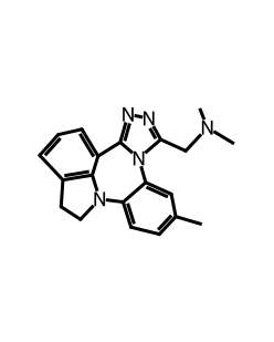 Cc1ccc2c(c1)-n1c(CN(C)C)nnc1-c1cccc3c1N2CC3